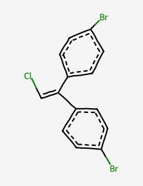 ClC=C(c1ccc(Br)cc1)c1ccc(Br)cc1